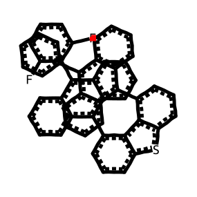 Fc1cccc(F)c1-c1c2ccccc2c(-c2cccc3sc4cccc(-c5c6ccccc6c(-c6ccccc6)c6ccccc56)c4c23)c2ccccc12